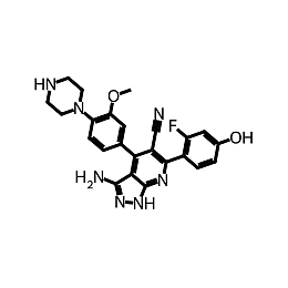 COc1cc(-c2c(C#N)c(-c3ccc(O)cc3F)nc3[nH]nc(N)c23)ccc1N1CCNCC1